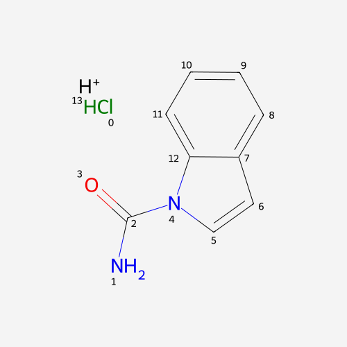 Cl.NC(=O)n1ccc2ccccc21.[H+]